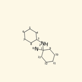 [N]C1(NC2CCCCC2)CCCCC1